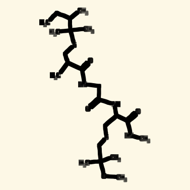 CCC(C)C(C)(C)SCC(C)C(=O)NCC(=O)NC(CSCC(C)(C)OC)C(=O)NC